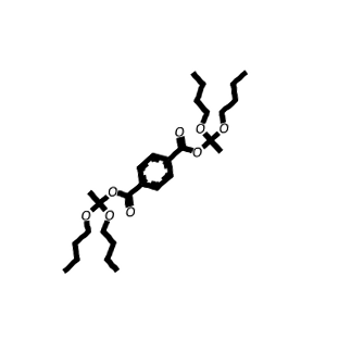 CCCCOC(C)(OCCCC)OC(=O)c1ccc(C(=O)OC(C)(OCCCC)OCCCC)cc1